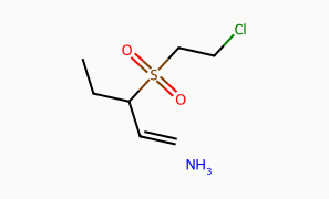 C=CC(CC)S(=O)(=O)CCCl.N